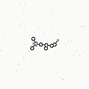 N#Cc1ccc2ccc(-c3ccc(-c4ccc(-c5nc(-c6ccccc6)nc(-c6ccccc6)n5)cc4)c4ccccc34)cc2c1